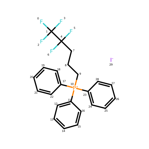 FC(F)(F)C(F)(F)CCC[P+](c1ccccc1)(c1ccccc1)c1ccccc1.[I-]